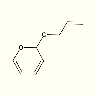 C=CCOC1C=CC=CO1